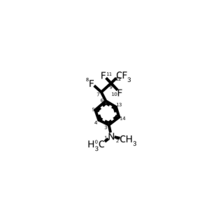 CN(C)c1ccc(C(F)C(F)(F)C(F)(F)F)cc1